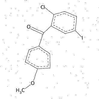 COc1ccc(C(=O)c2cc(I)ccc2Cl)cc1